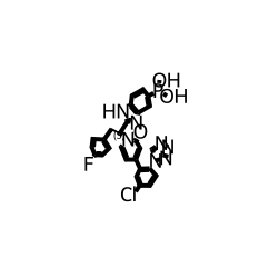 O=c1cc(-c2cc(Cl)ccc2-n2cnnn2)ccn1[C@@H](Cc1ccc(F)cc1)c1nc2cc(P(O)O)ccc2[nH]1